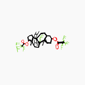 C[C@]12CCC(OC(=O)C(F)(F)F)CC1CC[C@H]1[C@@H]3CCC(OC(=O)C(F)(F)F)[C@@]3(C)CC[C@]12F